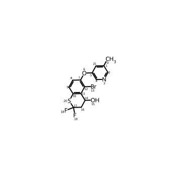 Cc1cncc(Oc2ccc3c(c2Br)C(O)CC(F)(F)S3)c1